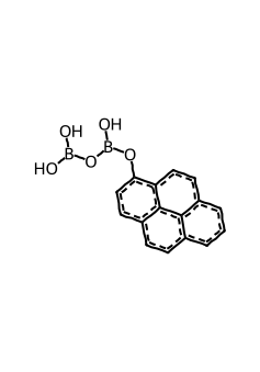 OB(O)OB(O)Oc1ccc2ccc3cccc4ccc1c2c34